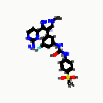 CC(C)(C)N/C=C(\C(=N)c1ccnc(N)n1)c1cc(F)cc(NC(=O)Nc2ccc(S(C)(=O)=O)cc2)c1